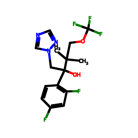 CC(C)(COC(F)(F)F)C(O)(Cn1cncn1)c1ccc(F)cc1F